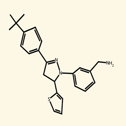 CC(C)(C)c1ccc(C2=NN(c3cccc(CN)c3)C(c3cccs3)C2)cc1